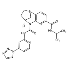 CC(NC(=O)c1ccc2c(n1)N(C(=O)Nc1cc(-n3ccnn3)ccn1)[C@H]1CCN2C1)C(F)(F)F